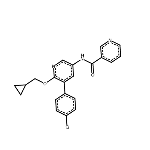 O=C(Nc1cnc(OCC2CC2)c(-c2ccc(Cl)cc2)c1)c1cccnc1